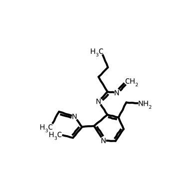 C=N/C(CCC)=N\c1c(CN)ccnc1C(=C/C)/N=C\C